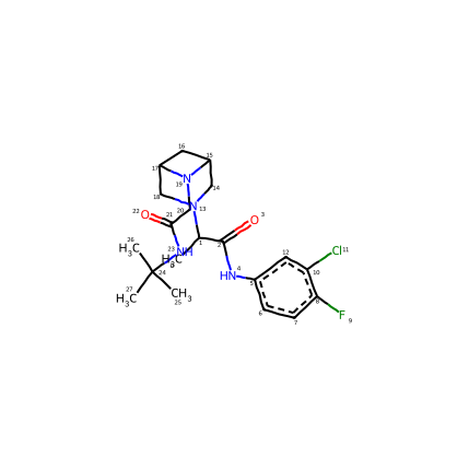 CC(C(=O)Nc1ccc(F)c(Cl)c1)N1CC2CC(C1)N2CC(=O)NC(C)(C)C